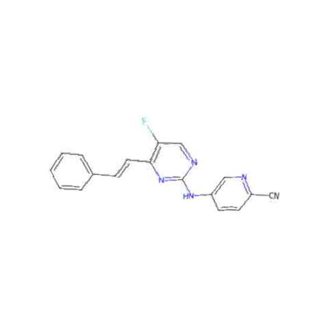 N#Cc1ccc(Nc2ncc(F)c(C=Cc3ccccc3)n2)cn1